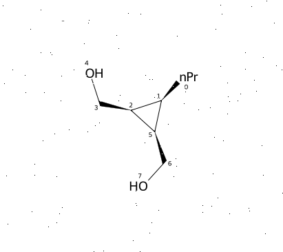 CCC[C@@H]1[C@H](CO)[C@@H]1CO